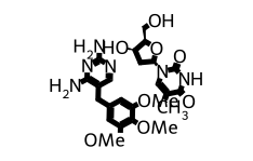 COc1cc(Cc2cnc(N)nc2N)cc(OC)c1OC.Cc1cn([C@H]2C[C@H](O)[C@@H](CO)O2)c(=O)[nH]c1=O